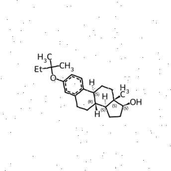 CCC(C)(C)Oc1ccc2c(c1)CC[C@@H]1[C@@H]2CC[C@]2(C)[C@@H](O)CC[C@@H]12